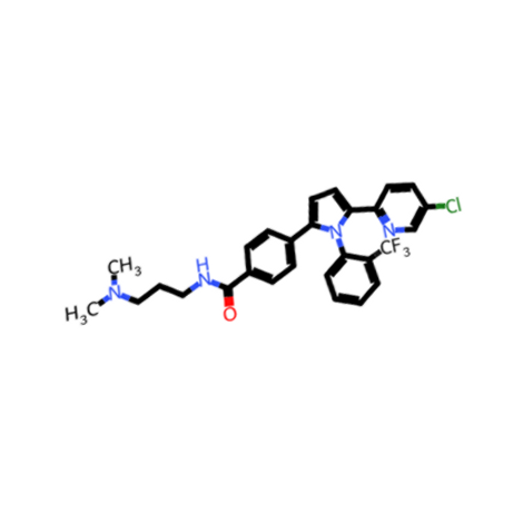 CN(C)CCCNC(=O)c1ccc(-c2ccc(-c3ccc(Cl)cn3)n2-c2ccccc2C(F)(F)F)cc1